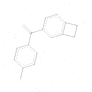 C=C(c1ccc(C)cc1)c1ccc2c(c1)CC2